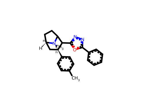 Cc1ccc([C@H]2C[C@H]3CCC(C2c2nnc(-c4ccccc4)o2)N3C)cc1